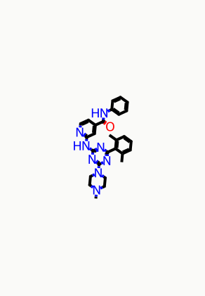 Cc1cccc(C)c1-c1nc(Nc2cc(C(=O)Nc3ccccc3)ccn2)nc(N2CCN(C)CC2)n1